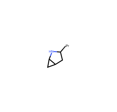 CC(C)C1CC2CC2N1